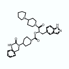 O=C(O[C@H](Cc1ccc2[nH]ncc2c1)C(=O)N1CCC(N2CCCCC2)CC1)N1CCC(N2Cc3ccccc3NC2=O)CC1